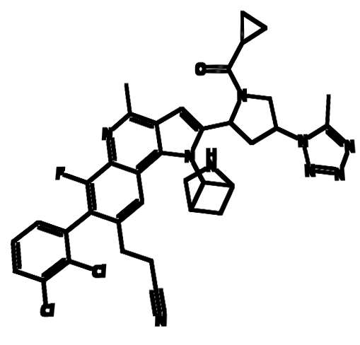 Cc1nc2c(F)c(-c3cccc(Cl)c3Cl)c(CCC#N)cc2c2c1cc(C1CC(n3nnnc3C)CN1C(=O)C1CC1)n2C1C2CNC1C2